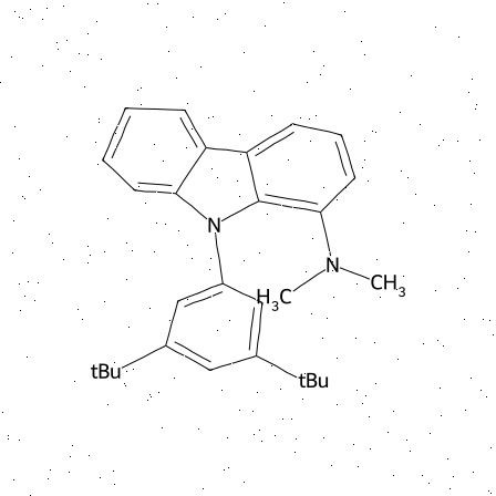 CN(C)c1cccc2c3ccccc3n(-c3cc(C(C)(C)C)cc(C(C)(C)C)c3)c12